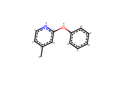 Cc1[c]cnc(Oc2ccccc2)c1